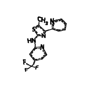 Cc1sc(Nc2cc(C(F)(F)F)ccn2)nc1-c1ccccn1